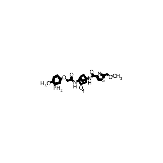 COCc1nc(C(=O)NC23CC(=C(NC(=O)COc4ccc(C)c(P)c4)C(OI)C2)C3)cs1